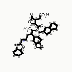 CC(C(C/C=C/c1nc2ccccc2o1)c1ccc2c(c1)OCO2)N(Cc1ccc2ccccc2c1)C(=O)C1COC(=O)C1CC(=O)O